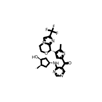 [CH2][C@@H]1C[C@@H](Nc2ncncc2C(=O)c2cc([C@@H]3OCCn4cc(C(F)(F)F)nc43)c(C)s2)C[C@@H]1O